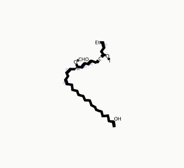 C=C(O)CCCCCCCCCCCCCC/C=C\C/C=C\C[C@H](/C=C/C=C/C=C=C(C/C=C\CC)OI)OC=O